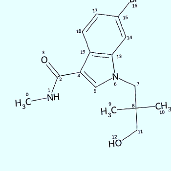 CNC(=O)c1cn(CC(C)(C)CO)c2cc(Br)ccc12